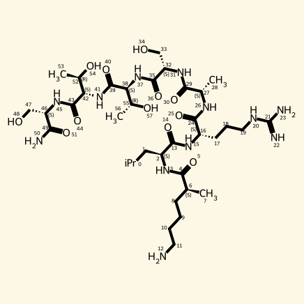 CC(C)C[C@H](NC(=O)[C@@H](C)CCCCN)C(=O)N[C@@H](CCCNC(=N)N)C(=O)N[C@@H](C)C(=O)N[C@@H](CO)C(=O)N[C@H](C(=O)N[C@H](C(=O)N[C@@H](CO)C(N)=O)[C@@H](C)O)[C@@H](C)O